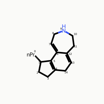 CCCC1CCC2=C1C1=CCNCCC1=CC2